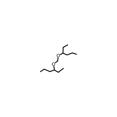 CCCC(CC)OCOC(CC)CCC